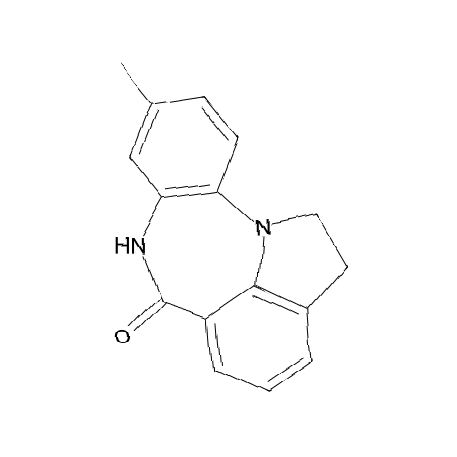 Cc1ccc2c(c1)NC(=O)c1cccc3c1N2CC3